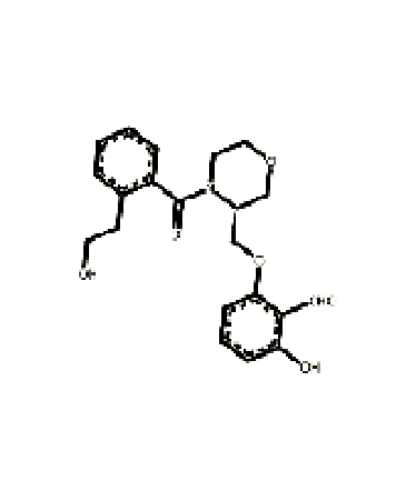 O=Cc1c(O)cccc1OC[C@@H]1COCCN1C(=O)c1ccccc1CCO